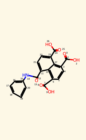 O=C(O)c1ccc(C(=O)O)c2c(C(=O)Nc3ccccc3)ccc(C(=O)O)c12